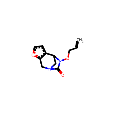 C=CCON1C(=O)N2Cc3occc3C1C2